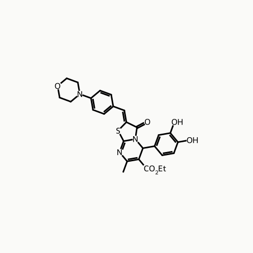 CCOC(=O)C1=C(C)N=c2s/c(=C\c3ccc(N4CCOCC4)cc3)c(=O)n2C1c1ccc(O)c(O)c1